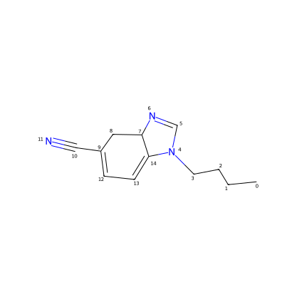 CCCCN1C=NC2CC(C#N)=CC=C21